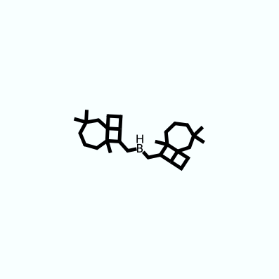 CC1(C)CCCC2(C)C(CBCC3C4CCC45CC(C)(C)CCCC35C)C3CCC32C1